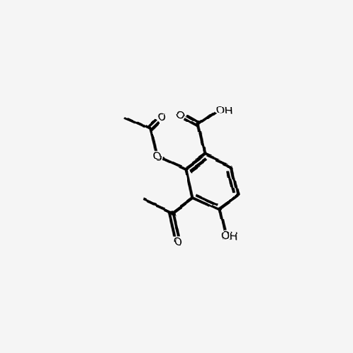 CC(=O)Oc1c(C(=O)O)ccc(O)c1C(C)=O